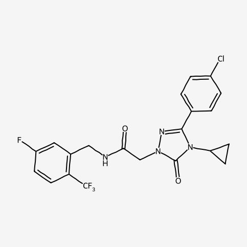 O=C(Cn1nc(-c2ccc(Cl)cc2)n(C2CC2)c1=O)NCc1cc(F)ccc1C(F)(F)F